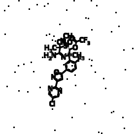 CN=[S@]1(=O)C(OC(=O)C(F)(F)F)[C@@](C)(c2cc(-c3cc(-c4ncc(Cl)cn4)no3)ccc2F)N=C(N)C1(C)C